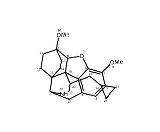 COc1ccc2c3c1OC1C4(OC)CCC5(CC4)C(C2)NCC(CC2CC2)C315